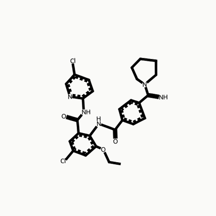 CCOc1cc(Cl)cc(C(=O)Nc2ccc(Cl)cn2)c1NC(=O)c1ccc(C(=N)N2CCCCC2)cc1